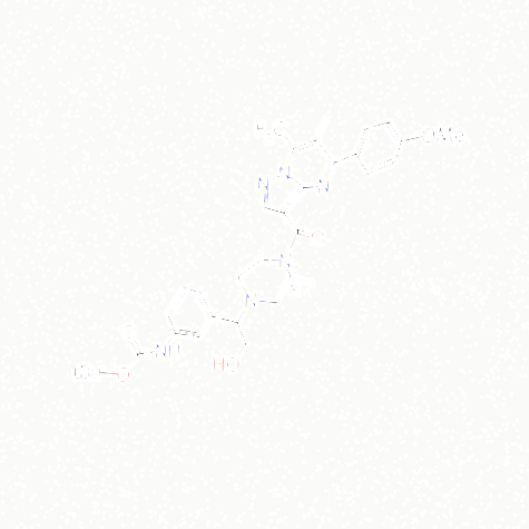 COc1ccc(-c2nc3c(C(=O)N4CCN(C(CO)c5cccc(NC(=O)OC(C)(C)C)c5)C[C@H]4C)cnn3c(C(F)(F)F)c2C)cc1